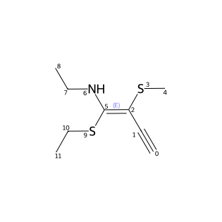 C#C/C(SC)=C(/NCC)SCC